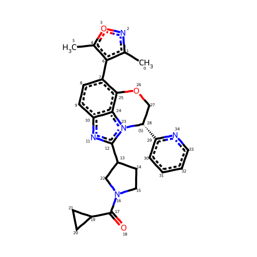 Cc1noc(C)c1-c1ccc2nc(C3CCN(C(=O)C4CC4)C3)n3c2c1OC[C@@H]3c1ccccn1